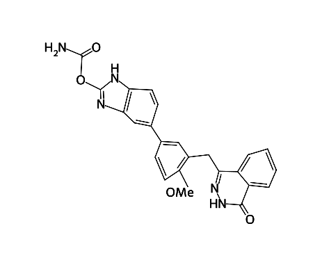 COc1ccc(-c2ccc3[nH]c(OC(N)=O)nc3c2)cc1Cc1n[nH]c(=O)c2ccccc12